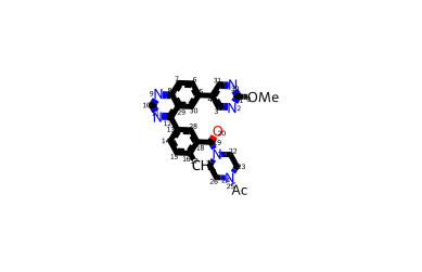 COc1ncc(-c2ccc3ncnc(-c4ccc(C)c(C(=O)N5CCN(C(C)=O)CC5)c4)c3c2)cn1